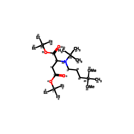 CC[Si](CC)(CC)OC(=O)CC(C(=O)O[Si](CC)(CC)CC)N(CCC[Si](C)(OC)OC)[Si](C)(C)C